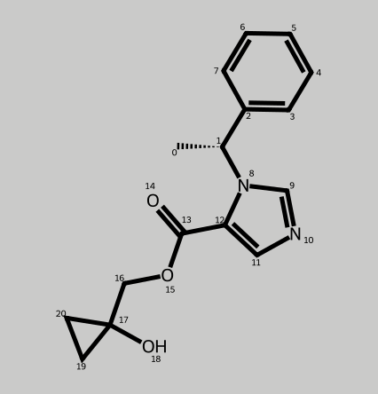 C[C@H](c1ccccc1)n1cncc1C(=O)OCC1(O)CC1